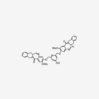 COc1cc2c(cc1OCc1cc(O)cc(COc3cc4c(cc3OC)C(=O)N3Cc5ccccc5C[C@H]3C=N4)n1)N=CC1Cc3ccccc3CN1C2=O